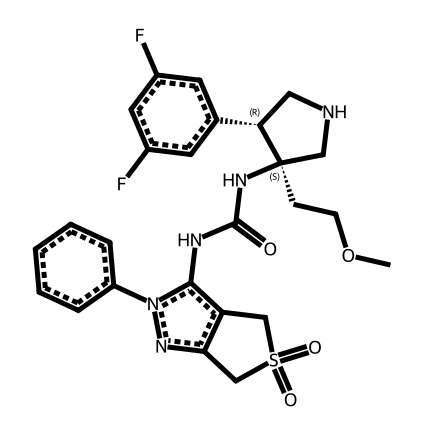 COCC[C@@]1(NC(=O)Nc2c3c(nn2-c2ccccc2)CS(=O)(=O)C3)CNC[C@H]1c1cc(F)cc(F)c1